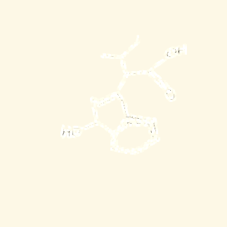 CC(C)C(C(=O)O)C1=CC(O)c2ccccc21